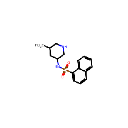 O=C(O)C1CNCC(NS(=O)(=O)c2cccc3ccccc23)C1